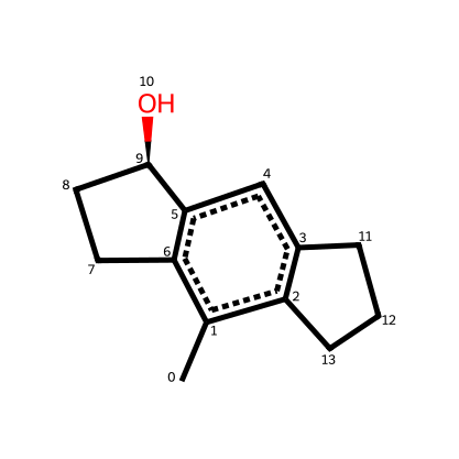 Cc1c2c(cc3c1CC[C@H]3O)CCC2